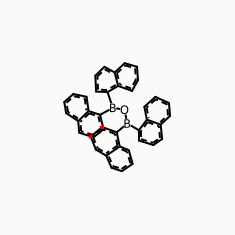 c1ccc2c(B(OB(c3cccc4ccccc34)c3cccc4ccccc34)c3cccc4ccccc34)cccc2c1